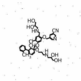 Cc1ccccc1C1=CC=CC(COc2cc(OCc3cncc(C#N)c3)c(CNCC(O)CO)cc2Cl)(OCCCNCC(O)CO)C1C